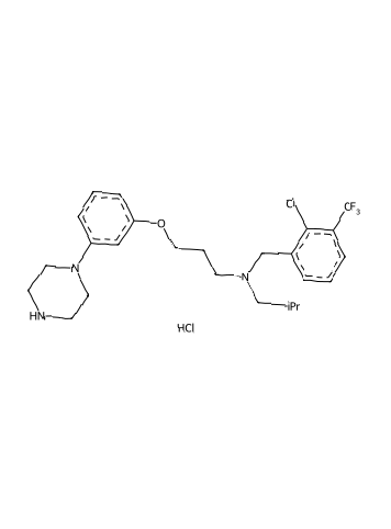 CC(C)CN(CCCOc1cccc(N2CCNCC2)c1)Cc1cccc(C(F)(F)F)c1Cl.Cl